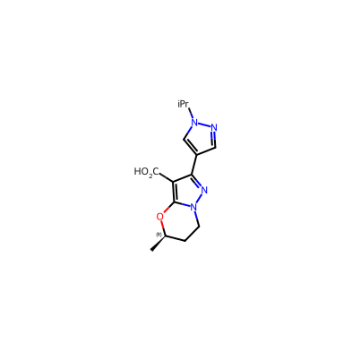 CC(C)n1cc(-c2nn3c(c2C(=O)O)O[C@H](C)CC3)cn1